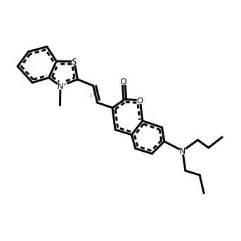 CCCN(CCC)c1ccc2cc(/C=C/c3sc4ccccc4[n+]3C)c(=O)oc2c1